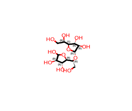 OC[C@@H](O)[C@@H]1O[C@@H](O[C@H](CO)[C@@H]2OC(O)[C@H](O)[C@H]2O)[C@H](O)[C@H]1O